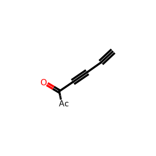 C#CC#CC(=O)C(C)=O